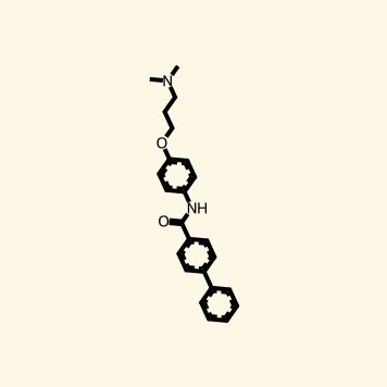 CN(C)CCCOc1ccc(NC(=O)c2ccc(-c3ccccc3)cc2)cc1